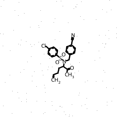 C=CCCC(C(C)=O)N(Cc1ccc(C#N)cc1)S(=O)(=O)c1ccc(Cl)cc1